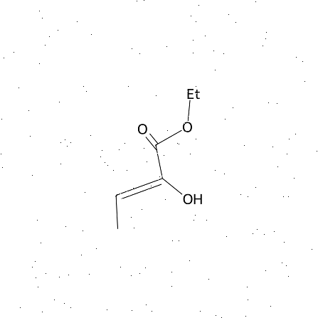 [CH2]COC(=O)C(O)=CC